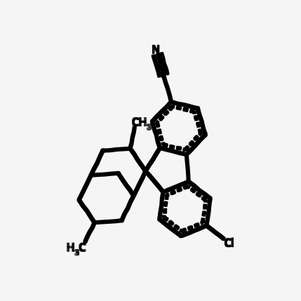 CC1CC2CC(C)C3(c4ccc(Cl)cc4-c4ccc(C#N)cc43)C(C1)C2